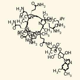 C/C1=C2N=C(/C=C3N=C(/C(C)=C4/[C@@H](CCC(N)=O)[C@](C)(CC(N)=O)[C@](C)([C@@H]5N=C1[C@](C)(CCC(=O)NCC(C)OP(=O)([O-])O[C@H]1[C@@H](O)[C@@H](n6cnc7cc(C)c(C)cc76)O[C@@H]1CO)[C@H]5CC(N)=O)[N]4[Co+][C]#N)[C@@](C)(CC(N)=O)[C@@H]\3CCC(N)=O)C(C)(C)[C@@H]/2CCC(N)=O.CC(C)[C@H](N)C(=O)O